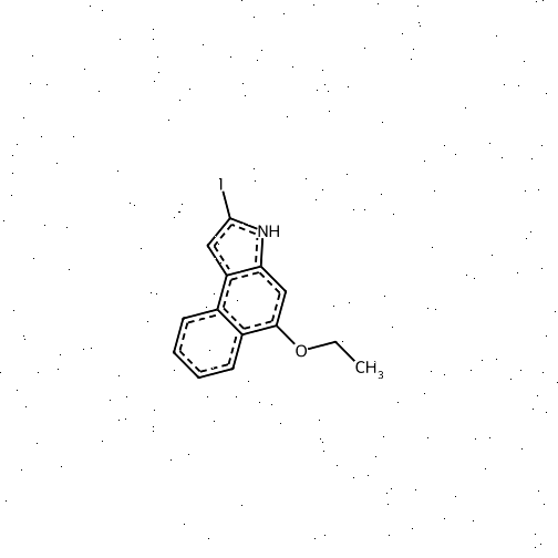 CCOc1cc2[nH]c(I)cc2c2ccccc12